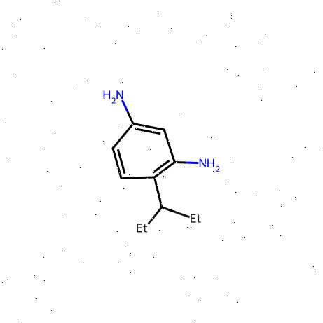 CCC(CC)c1ccc(N)cc1N